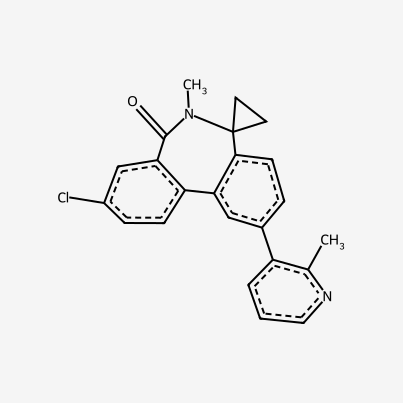 Cc1ncccc1-c1ccc2c(c1)-c1ccc(Cl)cc1C(=O)N(C)C21CC1